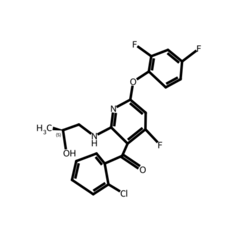 C[C@H](O)CNc1nc(Oc2ccc(F)cc2F)cc(F)c1C(=O)c1ccccc1Cl